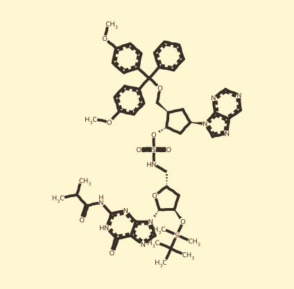 COc1ccc(C(OC[C@H]2C[C@@H](n3cnc4cncnc43)C[C@@H]2OS(=O)(=O)NC[C@@H]2C[C@@H](O[Si](C)(C)C(C)(C)C)[C@H](n3cnc4c(=O)[nH]c(NC(=O)C(C)C)nc43)O2)(c2ccccc2)c2ccc(OC)cc2)cc1